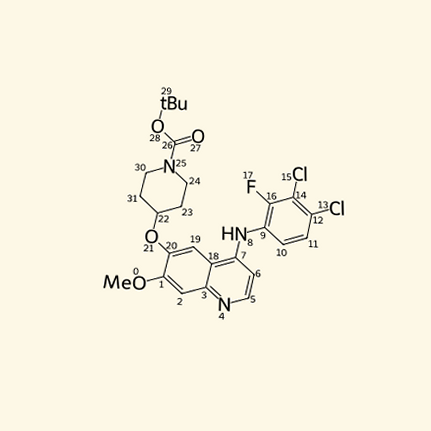 COc1cc2nccc(Nc3ccc(Cl)c(Cl)c3F)c2cc1OC1CCN(C(=O)OC(C)(C)C)CC1